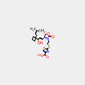 CC(C)=CCC1([C@H](O)C=C[C@H]2COC(=O)N2CCSc2nc(C(=O)O)cs2)CCC1